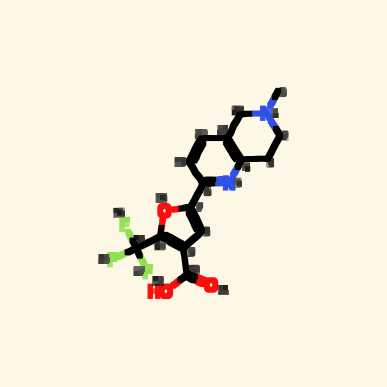 CN1CCc2nc(-c3cc(C(=O)O)c(C(F)(F)F)o3)ccc2C1